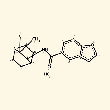 CC1(C)C(NC(=O)c2cnc3occc3c2)C2CCN1CC2.Cl